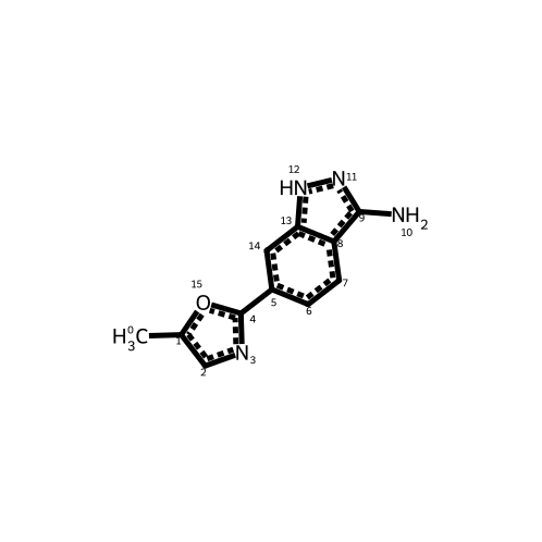 Cc1cnc(-c2ccc3c(N)n[nH]c3c2)o1